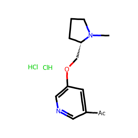 CC(=O)c1cncc(OC[C@@H]2CCCN2C)c1.Cl.Cl